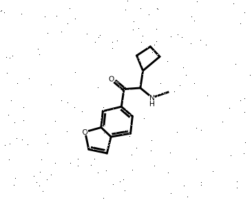 CNC(C(=O)c1ccc2ccoc2c1)C1CCC1